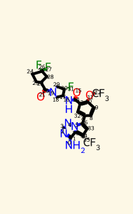 Nc1ncnn2c(-c3ccc(OC(F)(F)F)c(C(=O)N[C@@H]4CN(C(=O)C5CCC(F)(F)C5)C[C@@H]4F)c3)cc(C(F)(F)F)c12